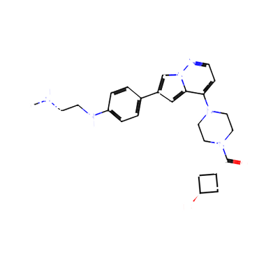 CCNCCNc1ccc(-c2cc3c(N4CCN(C(=O)[C@H]5C[C@H](O)C5)CC4)ccnn3c2)cc1